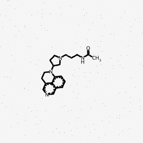 CC(=O)NCCCN1CCC(N2CCc3cncc4cccc2c34)C1